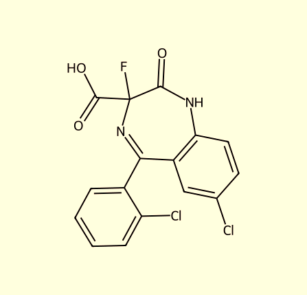 O=C(O)C1(F)N=C(c2ccccc2Cl)c2cc(Cl)ccc2NC1=O